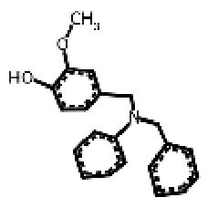 COc1cc(CN(Cc2ccccc2)c2ccccc2)ccc1O